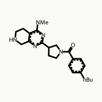 CCCCc1ccc(C(=O)N2CCC(c3nc4c(c(NC)n3)CCNC4)C2)cc1